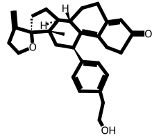 C=C1CCO[C@@]12CC[C@H]1[C@@H]3CCC4=CC(=O)CCC4=C3[C@@H](c3ccc(CCO)cc3)C[C@@]12C